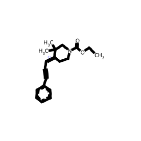 CCOC(=O)N1CC/C(=C\C#Cc2ccccc2)C(C)(C)C1